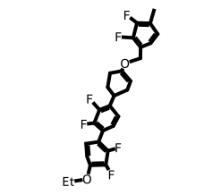 CCOc1ccc(-c2ccc(C3CC=C(OCc4ccc(C)c(F)c4F)CC3)c(F)c2F)c(F)c1F